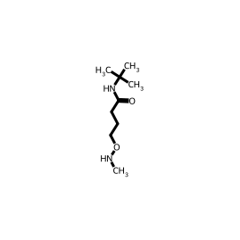 CNOCCCC(=O)NC(C)(C)C